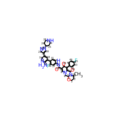 C[C@@H]1CCOC2Cn3cc(C(=O)Nc4ccc(-c5cc(-c6cnn(C7CCNCC7)c6)cnc5N)c(F)c4)c(=O)c(-c4ccc(F)cc4)c3C(=O)N21